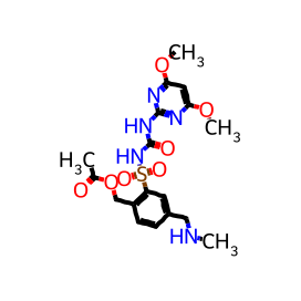 CNCc1ccc(COC(C)=O)c(S(=O)(=O)NC(=O)Nc2nc(OC)cc(OC)n2)c1